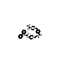 CN(C)C(=O)N1CCN(Cc2ccc(C(=O)N(C)CCN3CCC(OC(=O)Nc4ccccc4-c4ccccc4)CC3)cc2)CC1